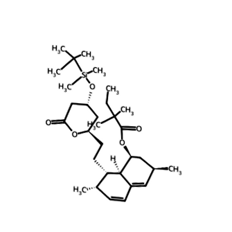 CCC(C)(C)C(=O)O[C@H]1C[C@@H](C)C=C2C=C[C@H](C)[C@H](CC[C@@H]3C[C@@H](O[Si](C)(C)C(C)(C)C)CC(=O)O3)[C@H]21